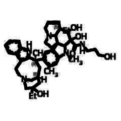 CCC1(O)C[C@H]2C[N@](CCc3c([nH]c4ccccc34)[C@@](C)(c3cc4c(cc3C)N(C)C3C45CCN4CC=C[C@](CC)(C45)[C@@H](O)[C@]3(O)C(=O)NCCCO)C2)C1